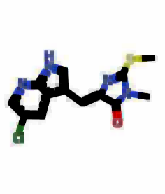 CSC1=N/C(=C\c2c[nH]c3ncc(Cl)cc23)C(=O)N1C